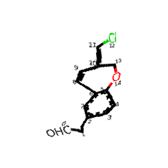 O=CCc1ccc2c(c1)C=CC(=CCl)CO2